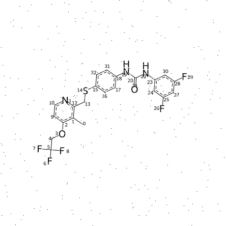 Cc1c(OCC(F)(F)F)ccnc1CSc1ccc(NC(=O)Nc2cc(F)cc(F)c2)cc1